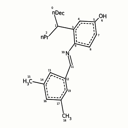 CCCCCCCCCCC(CCC)c1cc(O)ccc1N=Cc1cc(C)cc(C)c1